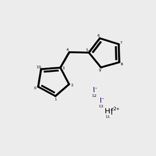 C1=CCC(CC2=CC=CC2)=C1.[Hf+2].[I-].[I-]